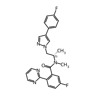 C[C@@H](Cn1cc(-c2ccc(F)cc2)cn1)N(C)C(=O)c1cc(F)ccc1-c1ncccn1